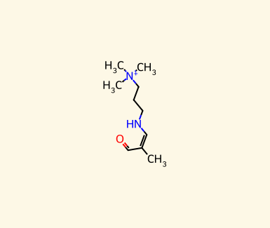 CC(C=O)=CNCCC[N+](C)(C)C